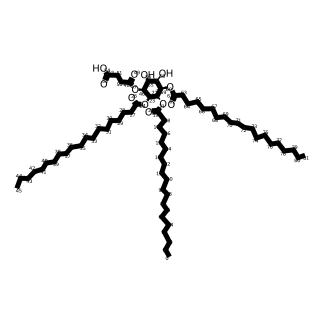 CCCCCCCCCCCCCCCCCCCC(=O)O[C@@H]1[C@@H](OC(=O)CCCCCCCCCCCCCCCCCCC)[C@@H](OC(=O)CCC(=O)O)[C@@H](O)[C@H](O)[C@H]1OC(=O)CCCCCCCCCCCCCCCCCCC